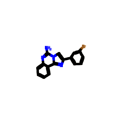 Nc1nc2ccccc2c2nc(-c3cccc(Br)c3)cn12